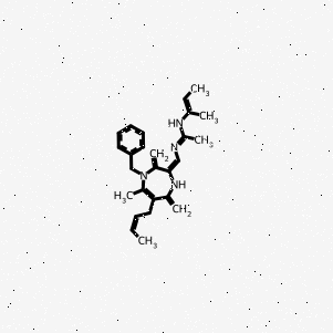 C=C1N/C(=C/N=C(\C)N/C(C)=C/C)C(=C)N(Cc2ccccc2)C(C)=C1C/C=C\C